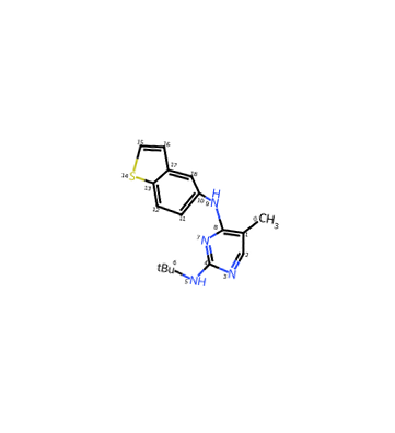 Cc1cnc(NC(C)(C)C)nc1Nc1ccc2sccc2c1